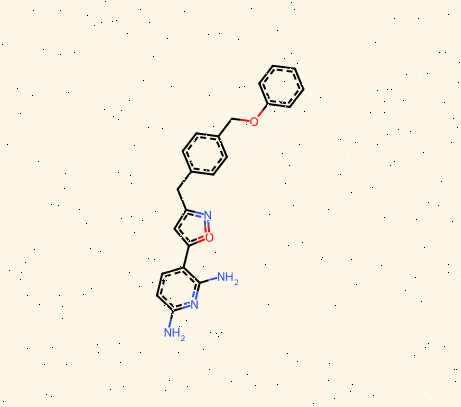 Nc1ccc(-c2cc(Cc3ccc(COc4ccccc4)cc3)no2)c(N)n1